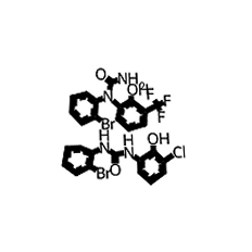 NC(=O)N(c1ccccc1Br)c1cccc(C(F)(F)F)c1O.O=C(Nc1ccccc1Br)Nc1cccc(Cl)c1O